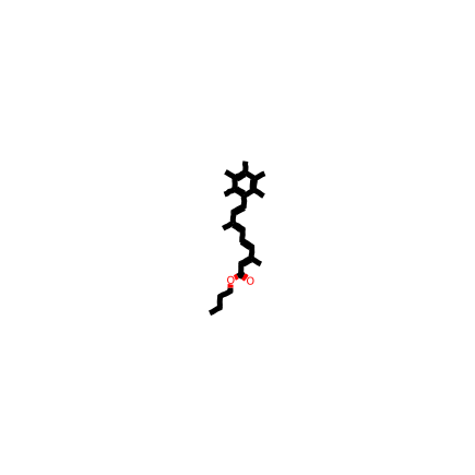 CCCCOC(=O)C=C(C)C=CC=C(C)C=Cc1c(C)c(C)c(C)c(C)c1C